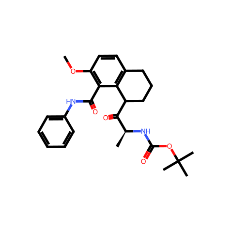 COc1ccc2c(c1C(=O)Nc1ccccc1)C(C(=O)[C@H](C)NC(=O)OC(C)(C)C)CCC2